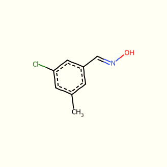 Cc1cc(Cl)cc(C=NO)c1